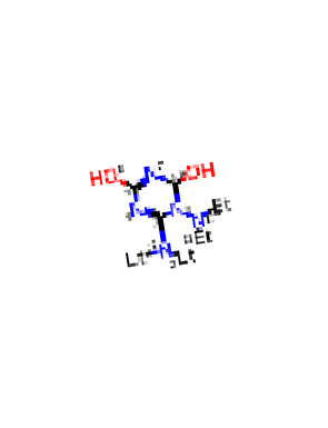 CCN(CC)C1=NC(O)=NC(O)N1N(CC)CC